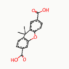 CC1(C)c2ccc(C(=O)O)cc2Oc2ccc(C(=O)O)cc21